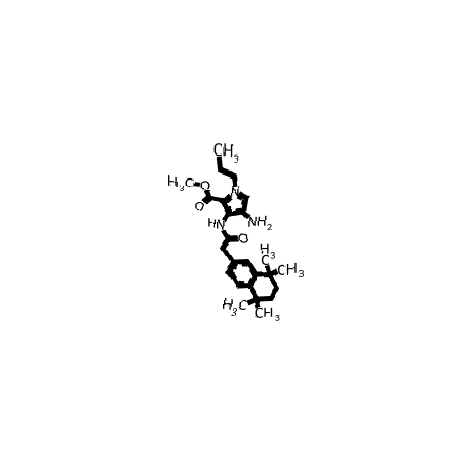 CCCn1cc(N)c(NC(=O)Cc2ccc3c(c2)C(C)(C)CCC3(C)C)c1C(=O)OC